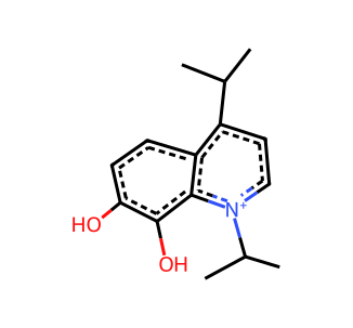 CC(C)c1cc[n+](C(C)C)c2c(O)c(O)ccc12